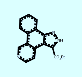 CCOC(=O)c1[nH]nc2c3ccccc3c3cnccc3c12